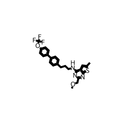 COCc1nc(NCCCc2ccc(-c3ccc(OC(F)(F)F)cc3)cc2)c2cc(C)sc2n1